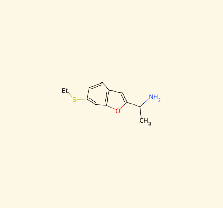 CCSc1ccc2cc(C(C)N)oc2c1